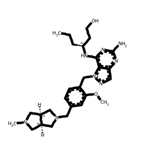 CCC[C@@H](CCO)Nc1nc(N)nc2cnn(Cc3ccc(CN4C[C@H]5CN(C)C[C@H]5C4)cc3OC)c12